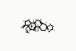 C[C@]12CCC3(CC1=CC[C@@H]1C2=CC[C@]2(C)C(=O)CC[C@@H]12)OCCO3